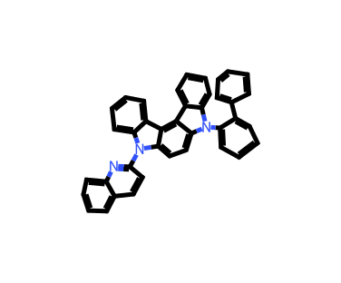 c1ccc(-c2ccccc2-n2c3ccccc3c3c4c5ccccc5n(-c5ccc6ccccc6n5)c4ccc32)cc1